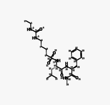 CCNC(=O)NCCCCS(=O)(=O)N[C@@H](CC(C)C)C(=O)N[C@@H](Cc1ccccc1)C(=O)NC